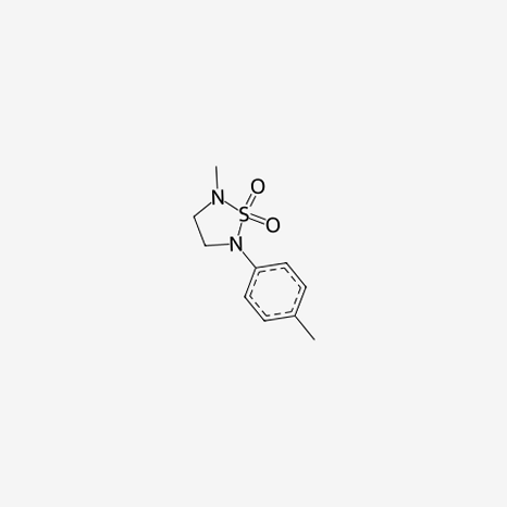 Cc1ccc(N2CCN(C)S2(=O)=O)cc1